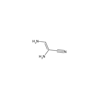 N#CC(N)=CN